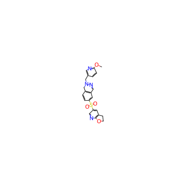 COc1ccc(CN2Cc3ccc(S(=O)(=O)c4cnc5c(c4)CCO5)cc3C=N2)cn1